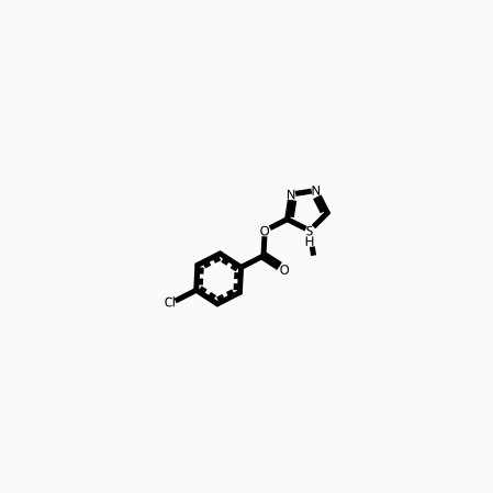 C[SH]1C=NN=C1OC(=O)c1ccc(Cl)cc1